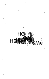 CSCC[C@H](NC(=O)[C@H](CC1CCCCC1)NC(=O)CNC(=O)CNC(=O)[C@@H](N)Cc1ccc(O)cc1)C(=O)O.Cl